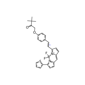 CC(C)(C)C(=O)COc1ccc(/C=C/C2=[N+]3C(=Cc4ccc(-c5cccs5)n4[B-]3(F)F)C=C2)cc1